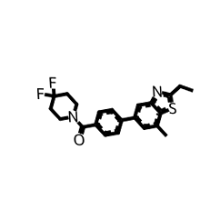 CCc1nc2cc(-c3ccc(C(=O)N4CCC(F)(F)CC4)cc3)cc(C)c2s1